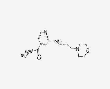 CC(C)(C)NC(=O)c1ccnc(NCCCN2CCOCC2)c1